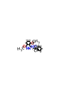 COc1nnc(NCC(C)(C)c2ccccc2)c2c(OC)cccc12